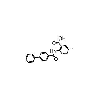 Cc1ccc(NC(=O)c2ccc(-c3ccccc3)cc2)c(C(=O)O)c1